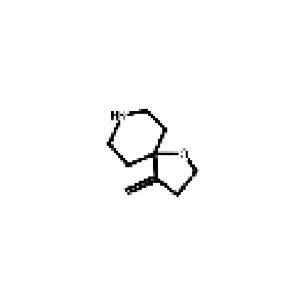 C=C1CCOC12CCNCC2